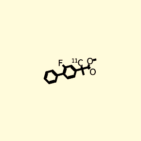 COC(=O)C(C)([11CH3])c1ccc(-c2ccccc2)c(F)c1